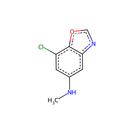 CNc1cc(Cl)c2ocnc2c1